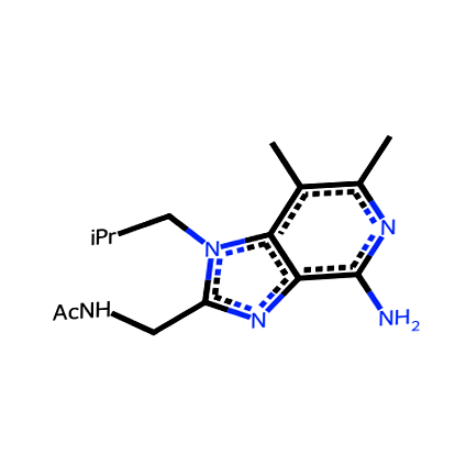 CC(=O)NCc1nc2c(N)nc(C)c(C)c2n1CC(C)C